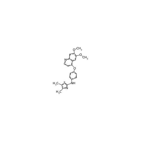 COc1cc2nccc(Oc3ccc(Nc4nc(C)c(C)s4)cc3)c2cc1OC